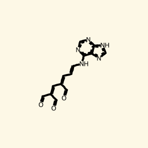 O=CC(C=O)=C/C(C=O)=C/C=C/Nc1ncnc2[nH]cnc12